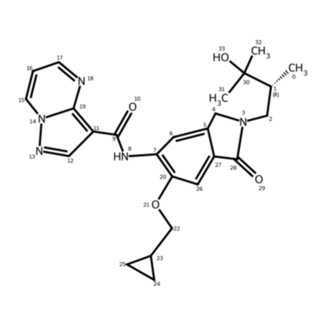 C[C@H](CN1Cc2cc(NC(=O)c3cnn4cccnc34)c(OCC3CC3)cc2C1=O)C(C)(C)O